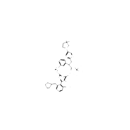 Cc1cccc(CC2CCCC2)c1-c1nc2nc(c1C)OC[C@@H](CC(C)(C)C)C(Cc1ncc(N3CCC(C)(C)C3)cn1)c1cccc(c1)S(=O)(=O)N2